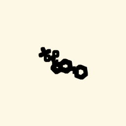 CC(C)(C)OC(=O)n1ccc2cc(N3CCCCC3)ccc21